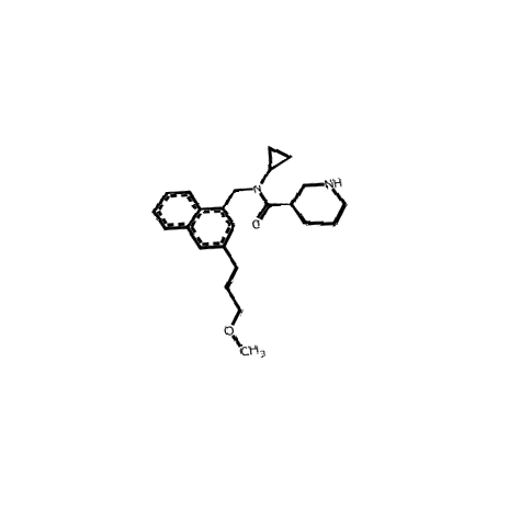 COCCCc1cc(CN(C(=O)[C@@H]2CCCNC2)C2CC2)c2ccccc2c1